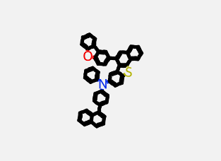 c1ccc(N(c2ccc(-c3cccc4ccccc34)cc2)c2ccc3sc4c5ccccc5cc(-c5ccc6oc7ccccc7c6c5)c4c3c2)cc1